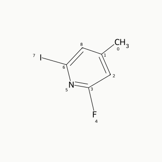 Cc1cc(F)nc(I)c1